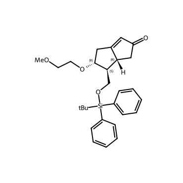 COCCO[C@@H]1CC2=CC(=O)C[C@@H]2[C@H]1CO[Si](c1ccccc1)(c1ccccc1)C(C)(C)C